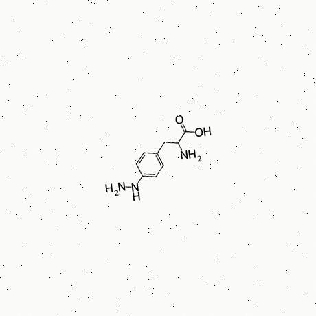 NNc1ccc(CC(N)C(=O)O)cc1